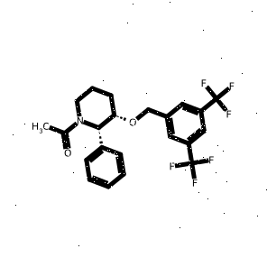 CC(=O)N1CCC[C@H](OCc2cc(C(F)(F)F)cc(C(F)(F)F)c2)[C@@H]1c1ccccc1